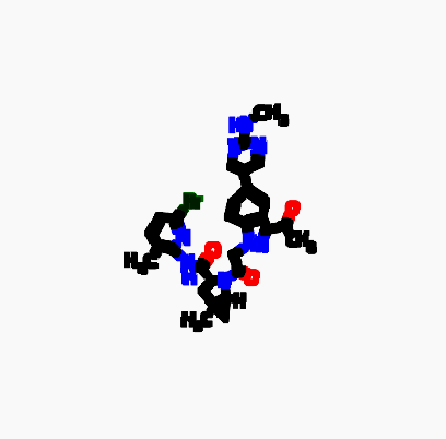 CNc1ncc(-c2ccc3c(c2)c(C(C)=O)nn3CC(=O)N2[C@H](C(=O)Nc3nc(Br)ccc3C)C[C@@]3(C)C[C@@H]23)cn1